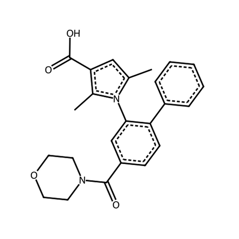 Cc1cc(C(=O)O)c(C)n1-c1cc(C(=O)N2CCOCC2)ccc1-c1ccccc1